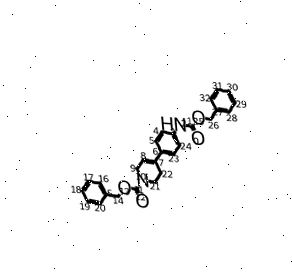 O=C(Nc1ccc(C2=CCN(C(=O)OCc3ccccc3)CC2)cc1)OCc1ccccc1